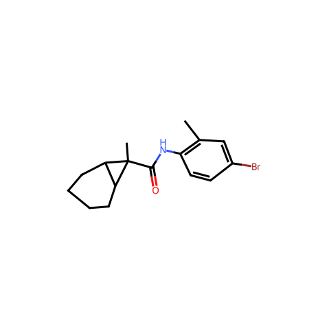 Cc1cc(Br)ccc1NC(=O)C1(C)C2CCCCC21